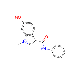 Cn1cc(C(=O)Nc2ccccc2)c2ccc(O)cc21